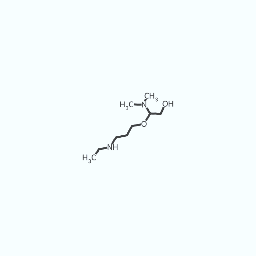 CCNCCCOC(CO)N(C)C